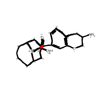 NC1COc2cc(N3CC4CCCC(C3)N4C(=O)O)ccc2C1